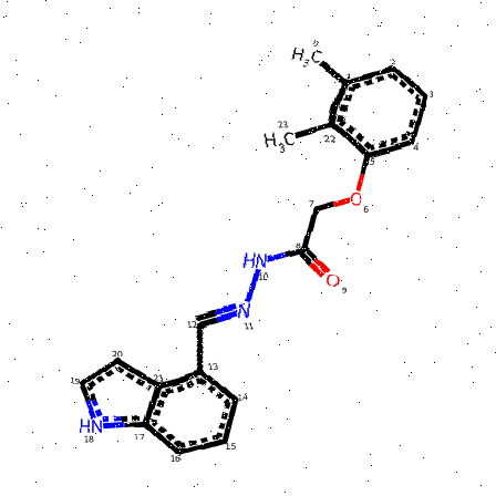 Cc1cccc(OCC(=O)NN=Cc2cccc3[nH]ccc23)c1C